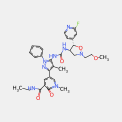 CCNC(=O)c1cc(-c2nn(-c3ccccc3)c(NC(=O)N[C@@H]3CN(CCOC)O[C@H]3c3ccnc(F)c3)c2C)cn(C)c1=O